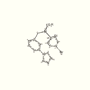 O=C(O)N(Cc1cccc(-n2cnnn2)c1)c1ccc(Br)cn1